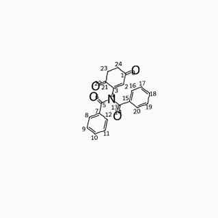 O=C1C=C(N(C(=O)c2ccccc2)C(=O)c2ccccc2)C(=O)CC1